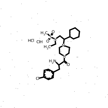 CCN(CC(C1CCCCC1)N1CCN(C(=O)C(N)Cc2ccc(Cl)cc2)CC1)S(C)(=O)=O.Cl.Cl